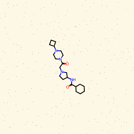 O=C(NC1CCN(CC(=O)N2CCN(C3CCC3)CC2)C1)C1CCCCC1